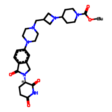 CC(C)(C)OC(=O)N1CCC(N2CC(CN3CCN(c4ccc5c(c4)CN([C@H]4CCC(=O)NC4=O)C5=O)CC3)C2)CC1